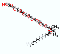 CCCCCCCCCCCCOC(C)C(C)OCCOCCOCCOCCOCCOCCOCCOCCOCCOCCO